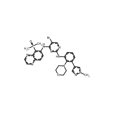 Cn1cc(-c2cccc(Nc3ncc(Br)c(Nc4ccc5nccnc5c4P(C)(C)=O)n3)c2N2CCOCC2)cn1